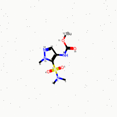 CN(C)S(=O)(=O)c1c(NC(=O)OC(C)(C)C)cnn1C